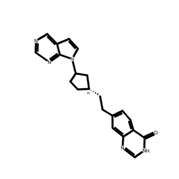 O=c1[nH]cnc2cc(CC[C@@H]3CCC(n4ccc5cncnc54)C3)ccc12